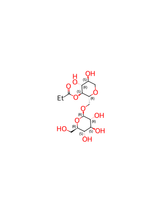 CCC(=O)O[C@H]1[C@H](O)[C@@H](O)CO[C@@H]1CO[C@@H]1O[C@H](CO)[C@@H](O)[C@H](O)[C@H]1O